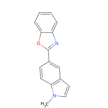 Cn1ccc2cc(-c3nc4ccccc4o3)ccc21